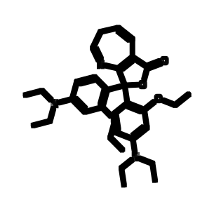 CCOc1cc(N(CC)CC)ccc1C1(c2ccc(N(CC)CC)cc2OCC)OC(=O)C2=C1N=CCC=C2